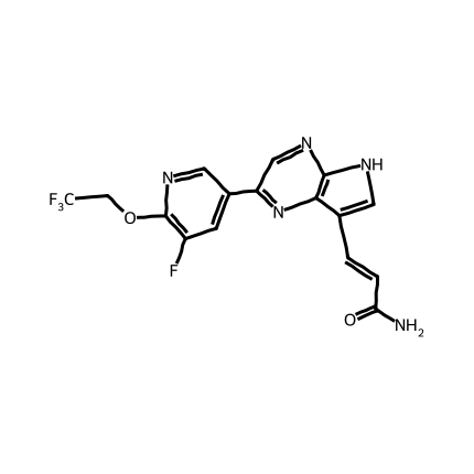 NC(=O)/C=C/c1c[nH]c2ncc(-c3cnc(OCC(F)(F)F)c(F)c3)nc12